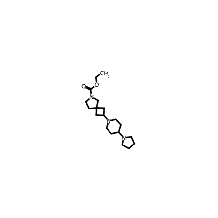 CCOC(=O)N1CCC2(CC(N3CCC(N4CCCC4)CC3)C2)C1